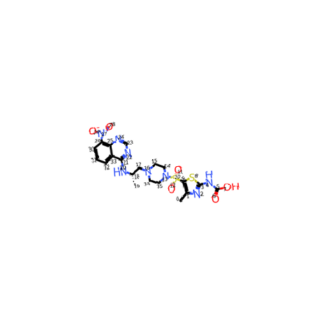 Cc1nc(NC(=O)O)sc1S(=O)(=O)N1CCN(C[C@H](C)Nc2ncnc3c([N+](=O)[O-])cccc23)CC1